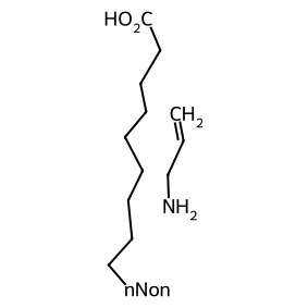 C=CCN.CCCCCCCCCCCCCCCCCC(=O)O